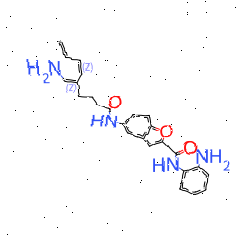 C=C/C=C\C(=C/N)CCCC(=O)Nc1ccc2oc(C(=O)Nc3ccccc3N)cc2c1